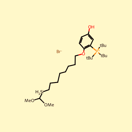 COC(OC)[SiH2]CCCCCCCCOc1ccc(O)cc1[P+](C(C)(C)C)(C(C)(C)C)C(C)(C)C.[Br-]